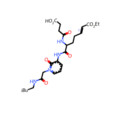 CCOC(=O)/C=C/CCC(NC(=O)CCC(=O)O)C(=O)Nc1cccn(CC(=O)NCC(C)CC)c1=O